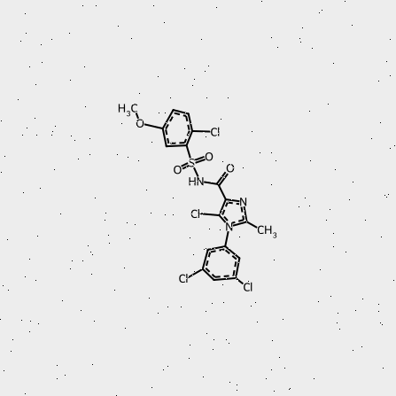 COc1ccc(Cl)c(S(=O)(=O)NC(=O)c2nc(C)n(-c3cc(Cl)cc(Cl)c3)c2Cl)c1